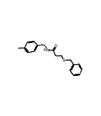 Cc1ccc(CNC(=O)CCSCc2ccccc2)cc1